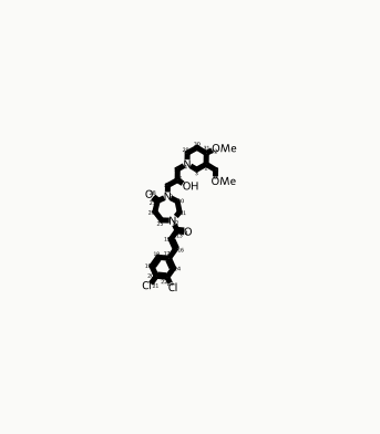 COCC1CN(CC(O)CN2CCN(C(=O)/C=C/c3ccc(Cl)c(Cl)c3)CCC2=O)CCC1OC